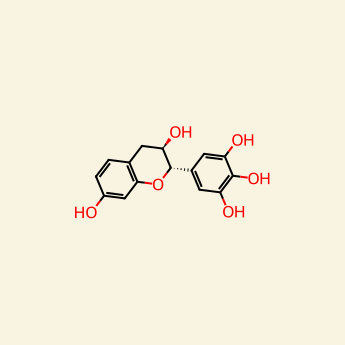 Oc1ccc2c(c1)O[C@@H](c1cc(O)c(O)c(O)c1)[C@H](O)C2